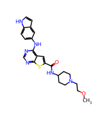 COCCN1CCC(NC(=O)c2cc3c(Nc4ccc5[nH]ccc5c4)ncnc3s2)CC1